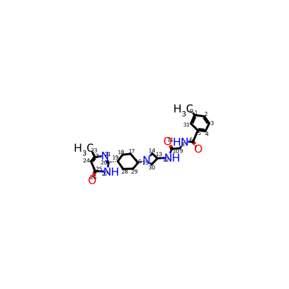 Cc1cccc(C(=O)NCC(=O)NC2CN([C@H]3CC[C@@H](c4nc(C)cc(=O)[nH]4)CC3)C2)c1